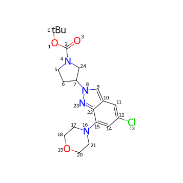 CC(C)(C)OC(=O)N1CCC(n2cc3cc(Cl)cc(N4CCOCC4)c3n2)C1